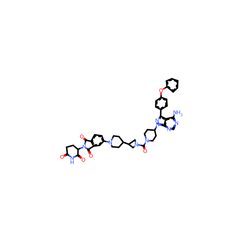 Nc1ncnc2c1c(-c1ccc(Oc3ccccc3)cc1)nn2C1CCN(C(=O)N2CC(C3CCN(c4ccc5c(c4)C(=O)N(C4CCC(=O)NC4=O)C5=O)CC3)C2)CC1